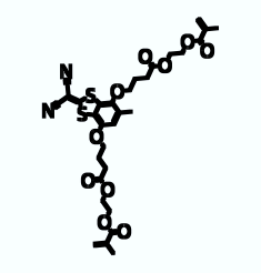 C=C(C)C(=O)OCCOC(=O)CCCOc1cc(C)c(OCCCC(=O)OCCOC(=O)C(=C)C)c2c1SC(=C(C#N)C#N)S2